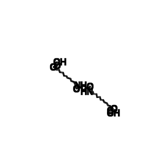 O=C(CCCCCCCCCCCNC(=O)c1ccc(C(=O)NCCCCCCCCCCCC(=O)OO)cc1)OO